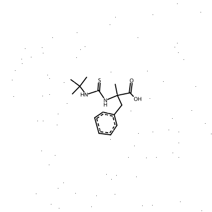 CC(C)(C)NC(=S)NC(C)(Cc1ccccc1)C(=O)O